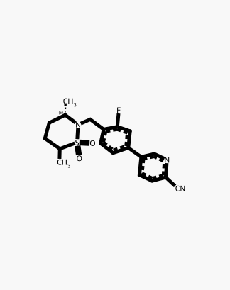 CC1CC[C@H](C)N(Cc2ccc(-c3ccc(C#N)nc3)cc2F)S1(=O)=O